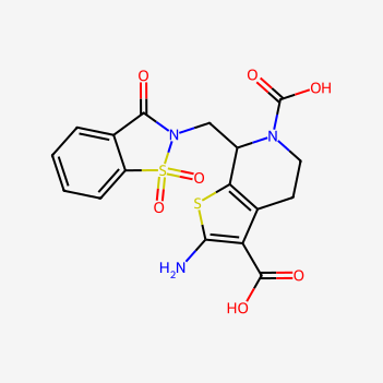 Nc1sc2c(c1C(=O)O)CCN(C(=O)O)C2CN1C(=O)c2ccccc2S1(=O)=O